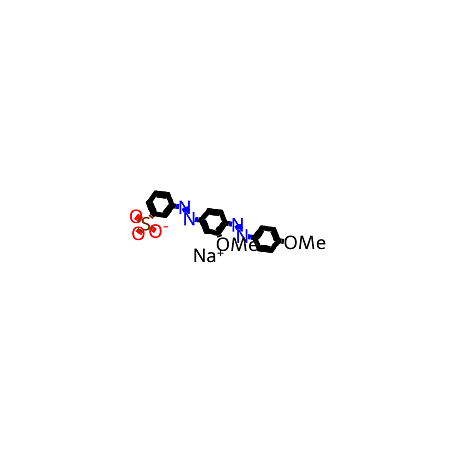 COc1ccc(N=Nc2ccc(N=Nc3cccc(S(=O)(=O)[O-])c3)cc2OC)cc1.[Na+]